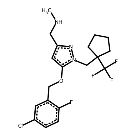 CNCc1cc(OCc2cc(Cl)ccc2F)n(CC2(C(F)(F)F)CCCC2)n1